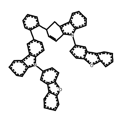 C1=CC(c2ccccc2-c2ccc3c(c2)c2ccccc2n3-c2ccc3oc4ccccc4c3c2)Cc2c1n(-c1ccc3oc4ccccc4c3c1)c1ccccc21